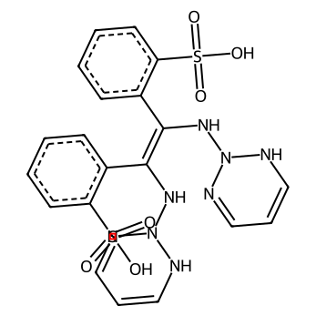 O=S(=O)(O)c1ccccc1C(NN1N=CC=CN1)=C(NN1N=CC=CN1)c1ccccc1S(=O)(=O)O